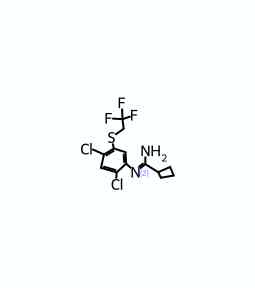 N/C(=N\c1cc(SCC(F)(F)F)c(Cl)cc1Cl)C1CCC1